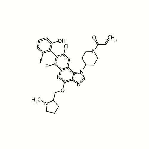 C=CC(=O)N1CCC(n2cnc3c(OCC4CCCN4C)nc4c(F)c(-c5c(O)cccc5F)c(Cl)cc4c32)CC1